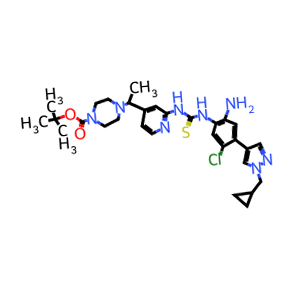 CC(c1ccnc(NC(=S)Nc2cc(Cl)c(-c3cnn(CC4CC4)c3)cc2N)c1)N1CCN(C(=O)OC(C)(C)C)CC1